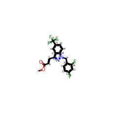 COC(=O)C=Cc1nn(Cc2ccc(F)cc2F)c2ccc(C(F)(F)F)cc12